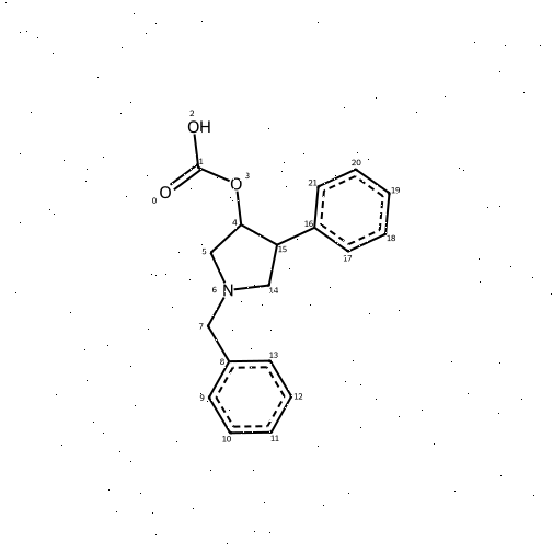 O=C(O)OC1CN(Cc2ccccc2)CC1c1ccccc1